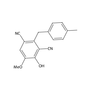 COc1cc(C#N)c(Cc2ccc(C)cc2)c(C#N)c1O